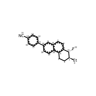 CC[C@H]1CCc2c(ccc3cc(-c4ccc(C#N)cc4)ccc23)[C@@H]1F